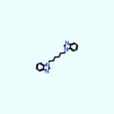 c1ccc2c(c1)ncn2CCCCCCn1cnc2ccccc21